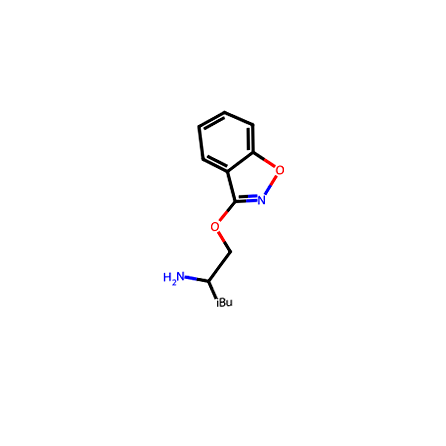 CCC(C)C(N)COc1noc2ccccc12